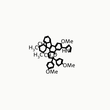 COc1ccc(C2(c3ccc(OC)cc3)C=Cc3c4c(c5cc(OC)c(-c6ccc[nH]6)cc5c3O2)-c2ccccc2C42CC(C)(C)CC(C)(C)C2)cc1